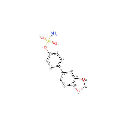 NS(=O)(=O)Oc1ccc(-c2ccc3c(c2)OCO3)cc1